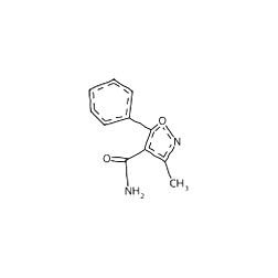 Cc1noc(-c2ccccc2)c1C(N)=O